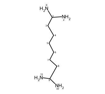 NC(N)CCCCCCC(N)N